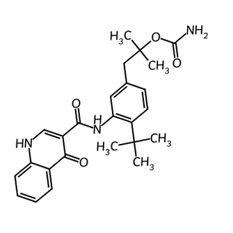 CC(C)(Cc1ccc(C(C)(C)C)c(NC(=O)c2c[nH]c3ccccc3c2=O)c1)OC(N)=O